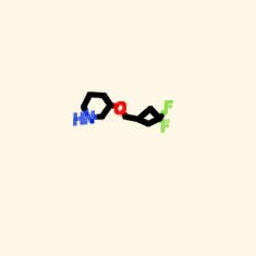 FC1(F)CC(COC2CCCNC2)C1